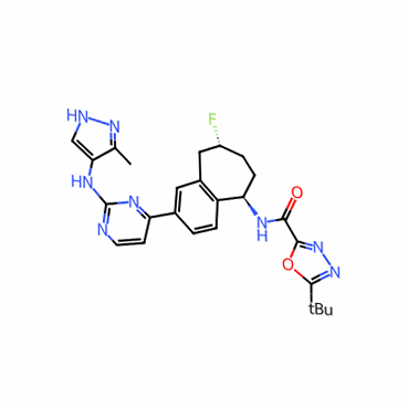 Cc1n[nH]cc1Nc1nccc(-c2ccc3c(c2)C[C@H](F)CC[C@H]3NC(=O)c2nnc(C(C)(C)C)o2)n1